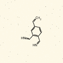 C=Cc1ccc(C=N)c(C=N)c1